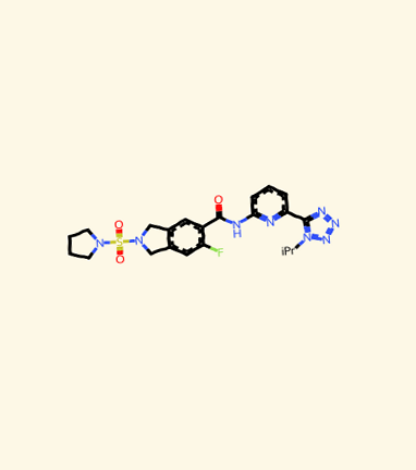 CC(C)n1nnnc1-c1cccc(NC(=O)c2cc3c(cc2F)CN(S(=O)(=O)N2CCCC2)C3)n1